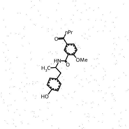 CCCC(=O)c1ccc(OC)c(C(=O)NC(C)Cc2ccc(O)cc2)c1